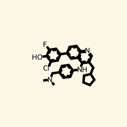 CN(C)Cc1ccc(Nc2c(CC3CCCC3)cnc3ccc(-c4cc(F)c(O)c(Cl)c4)cc23)cc1